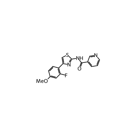 COc1ccc(-c2csc(NC(=O)c3cccnc3)n2)c(F)c1